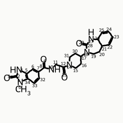 Cn1c(=O)[nH]c2cc(C(=O)NCC(=O)N3CCC(N4CCC5C=CC=CC5NC4=O)CC3)ccc21